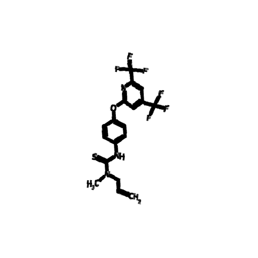 C=CCN(C)C(=S)Nc1ccc(Oc2cc(C(F)(F)F)cc(C(F)(F)F)n2)cc1